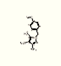 COc1ccc(Cn2nc(C)c([N+](=O)[O-])c2C)cc1